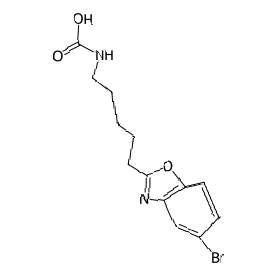 O=C(O)NCCCCCc1nc2cc(Br)ccc2o1